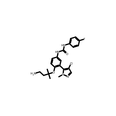 Cn1ncc(Cl)c1-c1cc(NC(=O)Nc2ccc(F)cc2)ccc1OC(C)(C)CCN